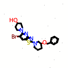 OC1CCN(c2nc3nc(N4CCCC(OCc5ccccc5)C4)sc3cc2Br)CC1